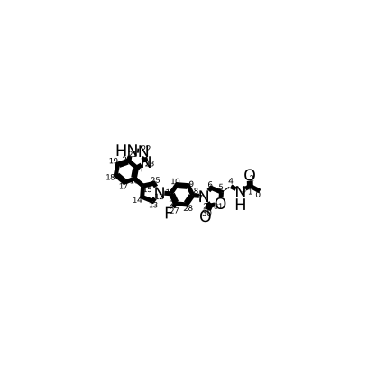 CC(=O)NC[C@H]1CN(c2ccc(N3CCC(c4cccc5[nH]nnc45)C3)c(F)c2)C(=O)O1